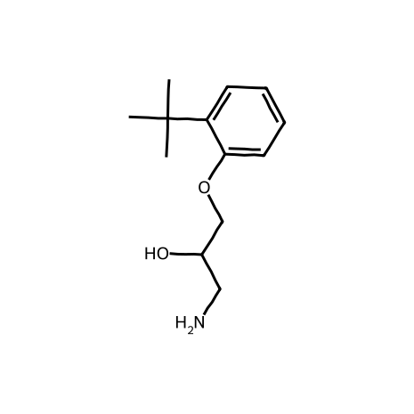 CC(C)(C)c1ccccc1OCC(O)CN